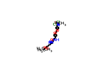 CN(/N=C/c1ccc(OC=COc2ccc(CCNC(=O)Cn3cc(CCCCC(=O)OC(C)(C)C)nn3)cc2)cc1)P(=S)(Cl)Cl